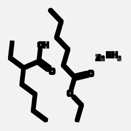 CCCCC(CC)C(=O)O.CCCCCC(=O)OCC.[BiH3].[Zn]